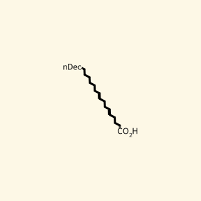 CCCCCCCCCCCCCCCCC=CCCC=CCCCC(=O)O